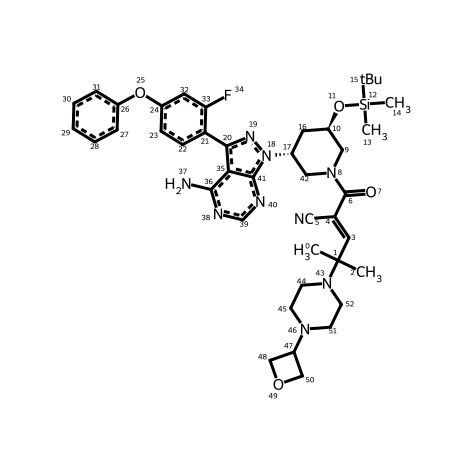 CC(C)(/C=C(\C#N)C(=O)N1C[C@H](O[Si](C)(C)C(C)(C)C)C[C@@H](n2nc(-c3ccc(Oc4ccccc4)cc3F)c3c(N)ncnc32)C1)N1CCN(C2COC2)CC1